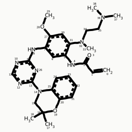 C=CC(=O)Nc1cc(Nc2ncnc(N3CC(C)(C)Oc4ccccc43)n2)c(OC)cc1N(C)CCN(C)C